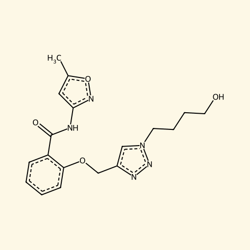 Cc1cc(NC(=O)c2ccccc2OCc2cn(CCCCO)nn2)no1